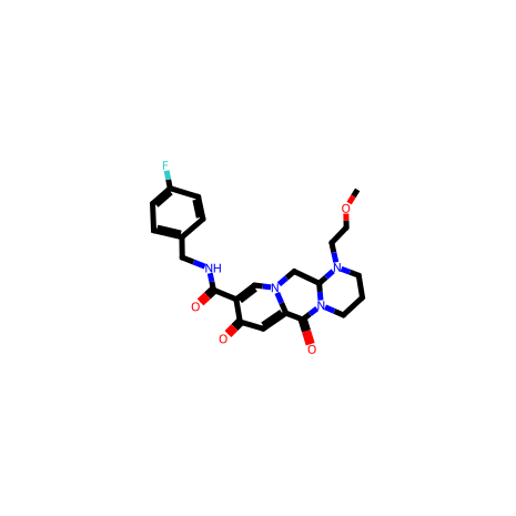 COCCN1CCCN2C(=O)c3cc(=O)c(C(=O)NCc4ccc(F)cc4)cn3CC12